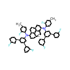 Cc1ccc(N(c2cc(-c3cccc(F)c3)cc(-c3cccc(F)c3)c2)c2ccc3ccc4c(N(c5cc(-c6cccc(F)c6)cc(-c6cccc(F)c6)c5)c5ccc(C)cc5F)ccc5ccc2c3c54)c(F)c1